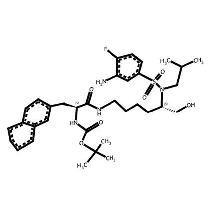 CC(C)CN([C@H](CO)CCCCNC(=O)[C@H](Cc1ccc2ccccc2c1)NC(=O)OC(C)(C)C)S(=O)(=O)c1ccc(F)c(N)c1